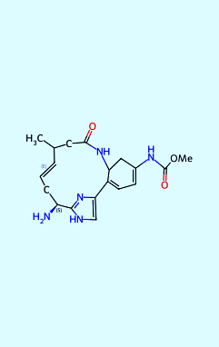 COC(=O)NC1=CC=C2c3c[nH]c(n3)[C@@H](N)C/C=C/C(C)CC(=O)NC2C1